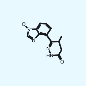 CC1CC(=O)NN=C1c1cccc2c1nc[s+]2[O-]